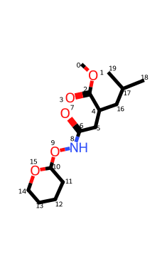 COC(=O)C(CC(=O)NOC1CCCCO1)CC(C)C